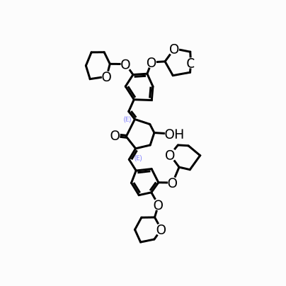 O=C1/C(=C/c2ccc(OC3CCCCO3)c(OC3CCCCO3)c2)CC(O)C/C1=C\c1ccc(OC2CCCCO2)c(OC2CCCCO2)c1